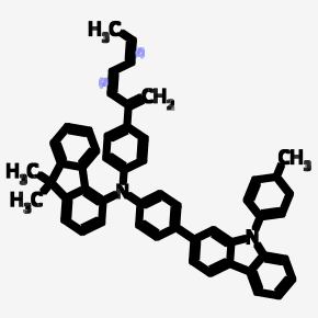 C=C(/C=C\C=C/C)c1ccc(N(c2ccc(-c3ccc4c5ccccc5n(C5=CCC(C)C=C5)c4c3)cc2)c2cccc3c2-c2ccccc2C3(C)C)cc1